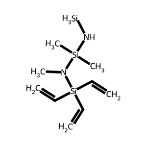 C=C[Si](C=C)(C=C)N(C)[Si](C)(C)N[SiH3]